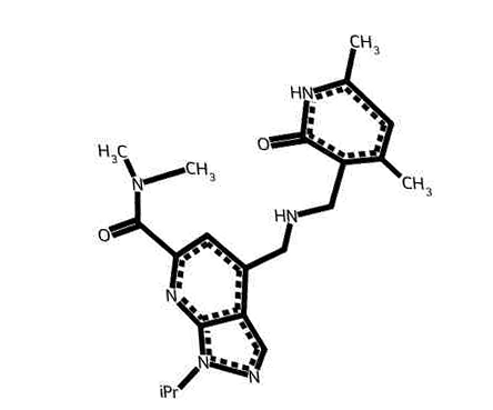 Cc1cc(C)c(CNCc2cc(C(=O)N(C)C)nc3c2cnn3C(C)C)c(=O)[nH]1